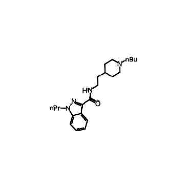 CCCCN1CCC(CCNC(=O)c2nn(CCC)c3ccccc23)CC1